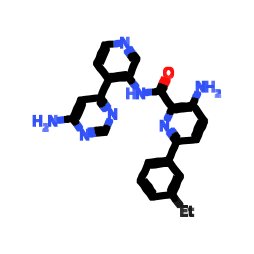 CCc1cccc(-c2ccc(N)c(C(=O)Nc3cnccc3-c3cc(N)ncn3)n2)c1